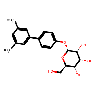 O=C(O)c1cc(C(=O)O)cc(-c2ccc(O[C@H]3O[C@H](CO)[C@@H](O)[C@@H](O)[C@H]3O)cc2)c1